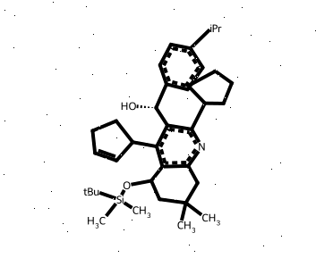 CC(C)c1ccc([C@@H](O)c2c(C3CCCC3)nc3c(c2C2C=CCC2)C(O[Si](C)(C)C(C)(C)C)CC(C)(C)C3)cc1